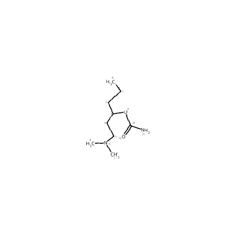 CCCC(CCN(C)C)OC(N)=O